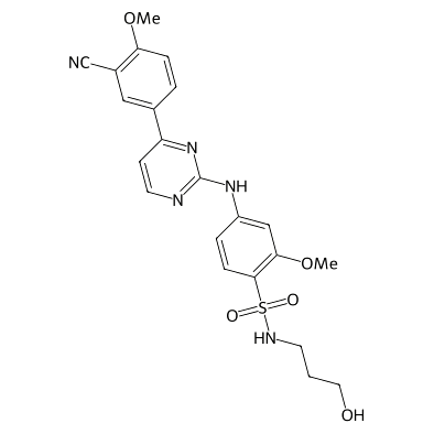 COc1ccc(-c2ccnc(Nc3ccc(S(=O)(=O)NCCCO)c(OC)c3)n2)cc1C#N